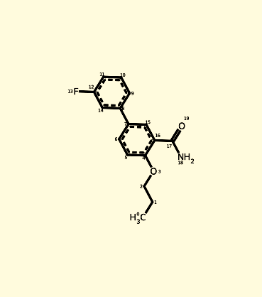 CCCOc1ccc(-c2cccc(F)c2)cc1C(N)=O